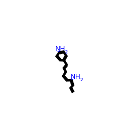 C=C/C=C(N)\C=C/C/C=C/c1ccc(N)cc1